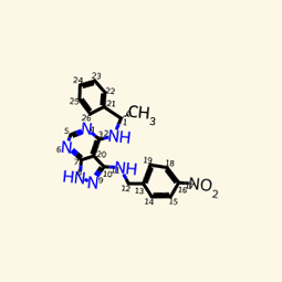 C[C@H](Nc1ncnc2[nH]nc(NCc3ccc([N+](=O)[O-])cc3)c12)c1ccccc1